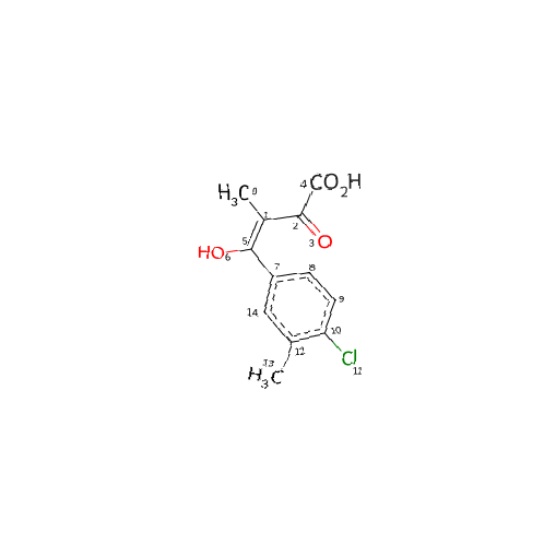 CC(C(=O)C(=O)O)=C(O)c1ccc(Cl)c(C)c1